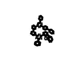 c1ccc(-c2ccc(-c3nc(-c4ccccc4)cc(-c4cccc(-c5cccc(-c6nc(-c7ccccc7)nc(-c7cccc8c7oc7ccccc78)n6)c5)c4)n3)cc2)cc1